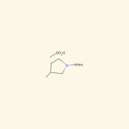 CCCCCCN1CCC(C)C1.CS(=O)(=O)O